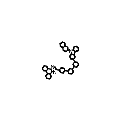 c1cc(-c2ccc(-c3cnc4c5ccccc5c5ccccc5c4n3)cc2)cc(-c2cccc(-c3ccc4c(c3)c3ccccc3n4-c3ccc4ccccc4c3)c2)c1